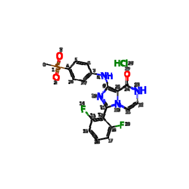 CS(=O)(=O)c1ccc(Nc2nc(-c3c(F)cccc3F)n3cc[nH]c(=O)c23)cc1.Cl